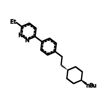 CCCC[C@H]1CC[C@H](CCc2ccc(-c3ccc(CC)nn3)cc2)CC1